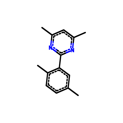 Cc1ccc(C)c(-c2nc(C)cc(C)n2)c1